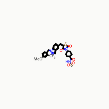 COc1ccc(Cn2ncc3cc(C=C4SC(=O)N(C5CCC(C(=O)NS(C)(=O)=O)CC5)C4=O)ccc32)c(C(F)(F)F)c1